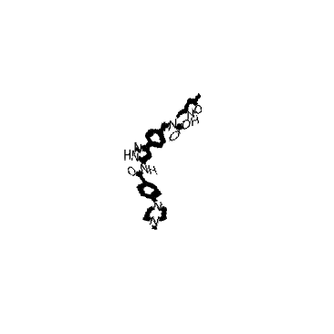 Cc1cc(CN(Cc2ccc(-c3cc(NC(=O)c4ccc(N5CCN(C)CC5)cc4)[nH]n3)cc2)C(=O)O)no1